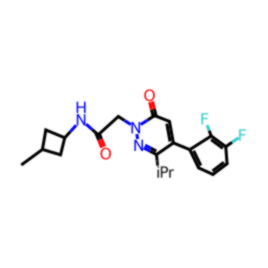 CC1CC(NC(=O)Cn2nc(C(C)C)c(-c3cccc(F)c3F)cc2=O)C1